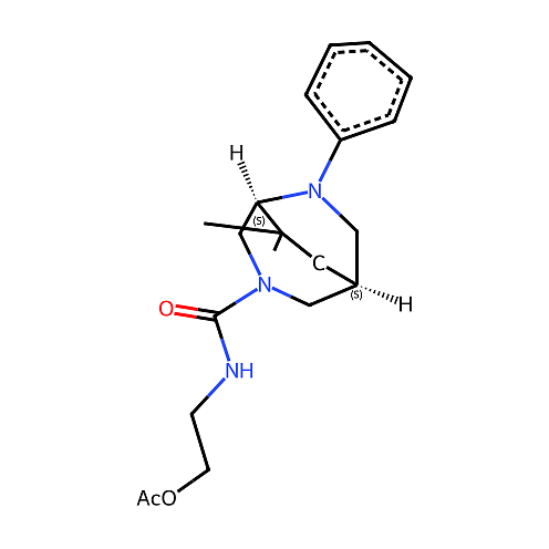 CC(=O)OCCNC(=O)N1C[C@@H]2CN(c3ccccc3)[C@H](C1)C(C)(C)C2